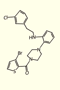 O=C(c1sccc1Br)N1CCN(c2ccccc2NCCc2cccc(Cl)c2)CC1